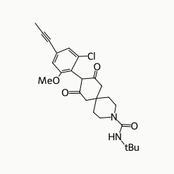 CC#Cc1cc(Cl)c(C2C(=O)CC3(CCN(C(=O)NC(C)(C)C)CC3)CC2=O)c(OC)c1